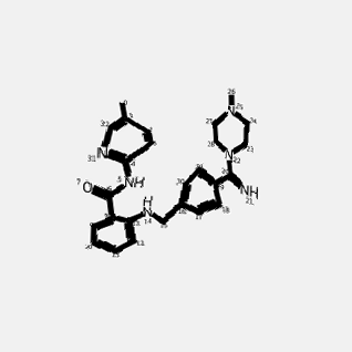 Cc1ccc(NC(=O)c2ccccc2NCc2ccc(C(=N)N3CCN(C)CC3)cc2)nc1